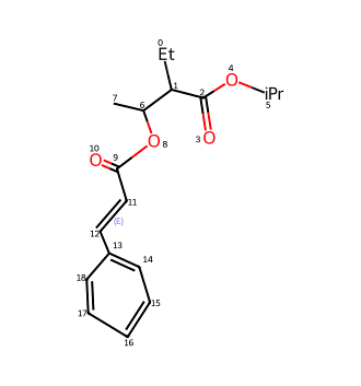 CCC(C(=O)OC(C)C)C(C)OC(=O)/C=C/c1ccccc1